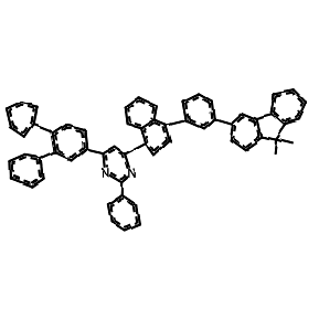 CC1(C)c2ccccc2-c2cc(-c3cccc(-c4ccc(-c5cc(-c6ccc(-c7ccccc7)c(-c7ccccc7)c6)nc(-c6ccccc6)n5)c5ccccc45)c3)ccc21